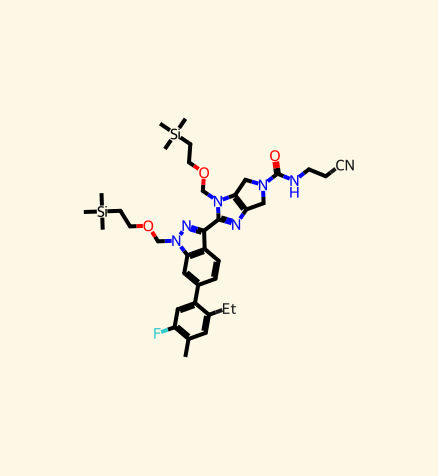 CCc1cc(C)c(F)cc1-c1ccc2c(-c3nc4c(n3COCC[Si](C)(C)C)CN(C(=O)NCCC#N)C4)nn(COCC[Si](C)(C)C)c2c1